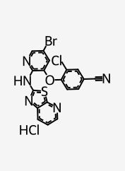 Cl.N#Cc1ccc(Oc2cc(Br)cnc2Nc2nc3cccnc3s2)c(Cl)c1